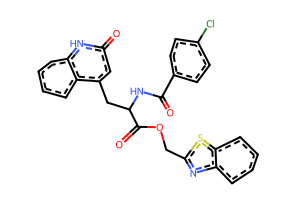 O=C(NC(Cc1cc(=O)[nH]c2ccccc12)C(=O)OCc1nc2ccccc2s1)c1ccc(Cl)cc1